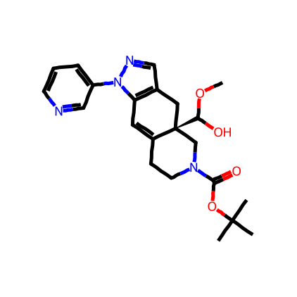 COC(O)[C@]12Cc3cnn(-c4cccnc4)c3C=C1CCN(C(=O)OC(C)(C)C)C2